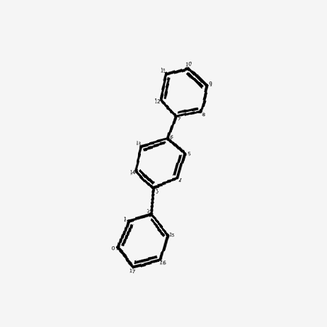 [c]1[c]c(-c2ccc(-c3ccccc3)cc2)ccc1